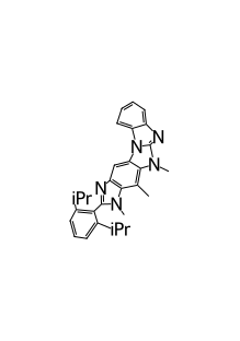 Cc1c2c(cc3c1n(C)c1nc4ccccc4n31)nc(-c1c(C(C)C)cccc1C(C)C)n2C